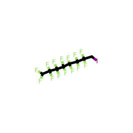 FC(F)C(F)(F)C(F)(F)C(F)(F)C(F)(F)C(F)(F)C(F)(F)CI